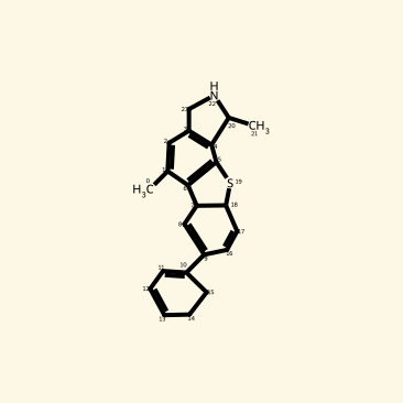 Cc1cc2c(c3c1C1C=C(C4=CC=CCC4)C=CC1S3)C(C)NC2